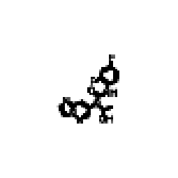 CC(O)N(C(=O)Nc1ccc(F)cc1F)c1cnn2ccnc2c1